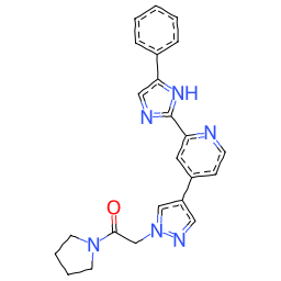 O=C(Cn1cc(-c2ccnc(-c3ncc(-c4ccccc4)[nH]3)c2)cn1)N1CCCC1